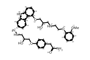 CC(C)NCC(O)COc1ccc(CC(N)=O)cc1.COc1ccccc1OCCNCC(O)COc1cccc2[nH]c3ccccc3c12